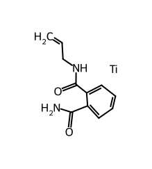 C=CCNC(=O)c1ccccc1C(N)=O.[Ti]